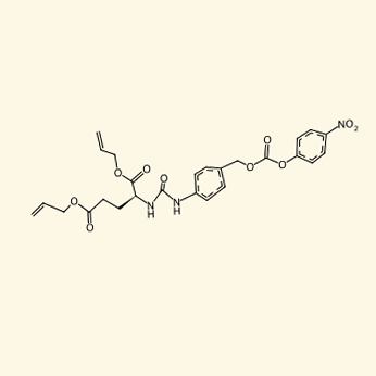 C=CCOC(=O)CC[C@H](NC(=O)Nc1ccc(COC(=O)Oc2ccc([N+](=O)[O-])cc2)cc1)C(=O)OCC=C